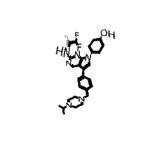 CC(C)N1CCN(Cc2ccc(-c3cn([C@H]4CC[C@H](O)CC4)c4nc(N[C@H](C)C(F)F)ncc34)cc2)CC1